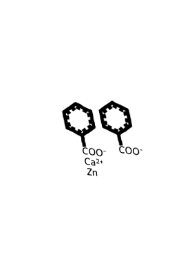 O=C([O-])c1ccccc1.O=C([O-])c1ccccc1.[Ca+2].[Zn]